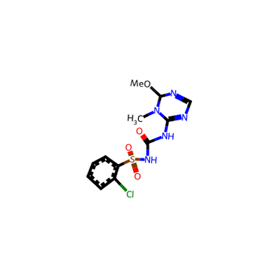 COC1N=CN=C(NC(=O)NS(=O)(=O)c2ccccc2Cl)N1C